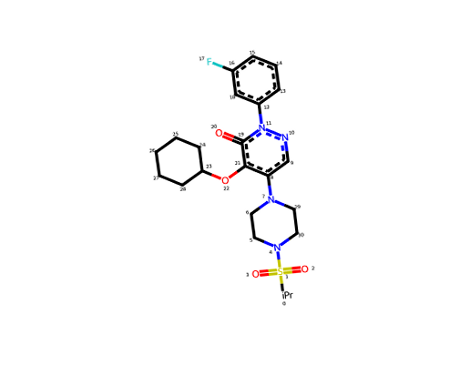 CC(C)S(=O)(=O)N1CCN(c2cnn(-c3cccc(F)c3)c(=O)c2OC2CCCCC2)CC1